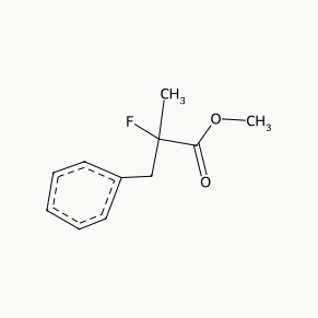 COC(=O)C(C)(F)Cc1ccccc1